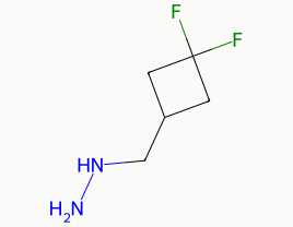 NNCC1CC(F)(F)C1